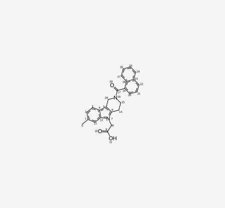 Cc1ccc2c3c(n(CC(=O)O)c2c1)CCN(C(=O)c1cccc2ccccc12)C3